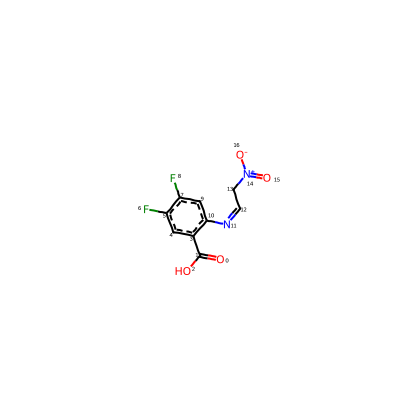 O=C(O)c1cc(F)c(F)cc1/N=C\C[N+](=O)[O-]